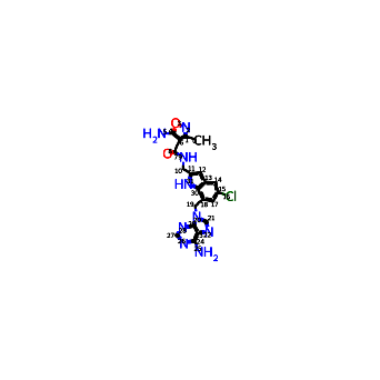 Cc1noc(N)c1C(=O)NCc1cc2cc(Cl)cc(Cn3cnc4c(N)ncnc43)c2[nH]1